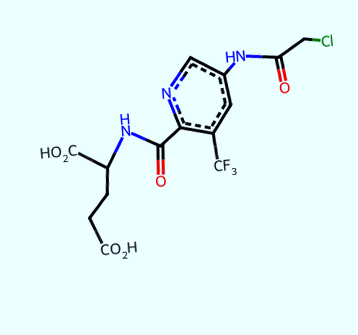 O=C(O)CCC(NC(=O)c1ncc(NC(=O)CCl)cc1C(F)(F)F)C(=O)O